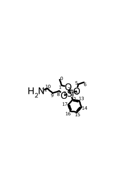 CCO[Si](OCC)(OCCCN)c1ccccc1